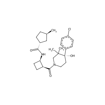 C[C@@H]1CC[C@@H](C(=O)N[C@@H]2CC[C@@H]2C(=O)N2CC[C@](O)(c3ccc(Cl)cc3)C(C)(C)C2)C1